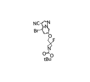 CC(C)(C)OC(=O)N1CC(F)(COc2cc(Br)c3c(C#N)cnn3c2)C1